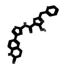 Cc1nc(Cc2ccccn2)sc1C(=O)Nc1nc(-c2ccc3c(c2)CCC(=O)N3)cs1